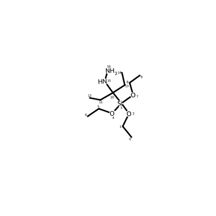 CCO[Si](OCC)(OCC)C(CC)(CC)NN